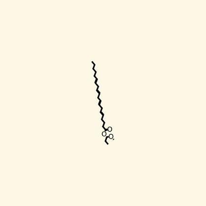 CCCCCC=CCC=CCC=CCC=CCCCC(=O)OC(CC)OC